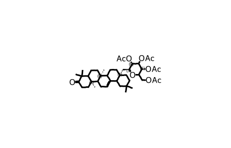 CC(=O)OCC1O[C@@H](C[C@@]23CCC4C(=CCC5[C@@]4(C)CCC4C(C)(C)C(=O)CC[C@@]45C)C2CC(C)(C)CC3)[C@@H](OC(C)=O)C(OC(C)=O)[C@H]1OC(C)=O